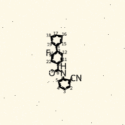 N#Cc1ccccc1NC(=O)c1ccc(-c2ccccc2)c(F)c1